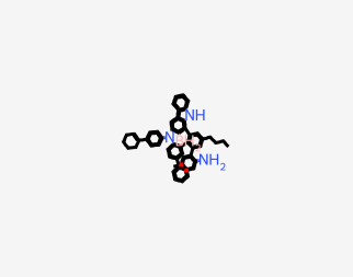 Bc1c2cc3c([nH]c4ccccc43)c1-c1cc(CCCC)cc(-c3cc(C)ccc3N)c1-c1cc(-c3ccccc3)ccc1N2c1ccc(C2=CCCCC2)cc1